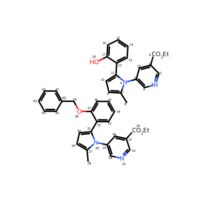 CCOC(=O)c1cncc(-n2c(C)ccc2-c2ccccc2O)c1.CCOC(=O)c1cncc(-n2c(C)ccc2-c2ccccc2OCc2ccccc2)c1